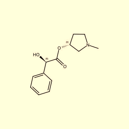 CN1CC[C@@H](OC(=O)[C@H](O)c2ccccc2)C1